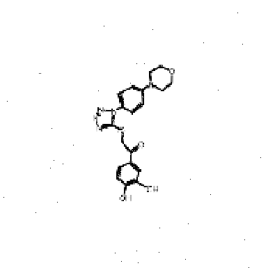 O=C(CSc1nnnn1-c1ccc(N2CCOCC2)cc1)c1ccc(O)c(O)c1